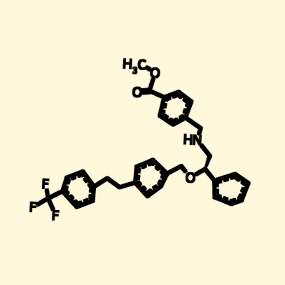 COC(=O)c1ccc(CNC[C@H](OCc2ccc(CCc3ccc(C(F)(F)F)cc3)cc2)c2ccccc2)cc1